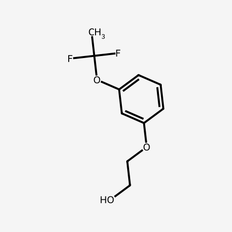 CC(F)(F)Oc1cccc(OCCO)c1